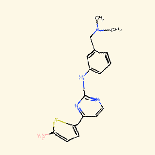 Bc1ccc(-c2ccnc(Nc3cccc(CN(C)C)c3)n2)s1